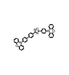 c1ccc2c(c1)Oc1ccccc1N2c1ccc(-c2ccc(-c3noc(-c4ccc(N5c6ccccc6Oc6ccccc65)cc4)n3)cc2)cc1